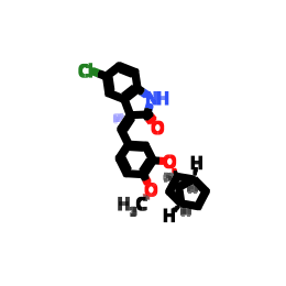 COc1ccc(/C=C2\C(=O)Nc3ccc(Cl)cc32)cc1O[C@H]1C[C@@H]2CC[C@H]1C2